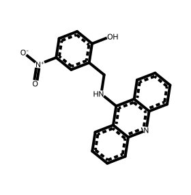 O=[N+]([O-])c1ccc(O)c(CNc2c3ccccc3nc3ccccc23)c1